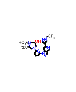 CC(C)(C)C1CN(c2cccc(-n3ncc4cnc(-c5cnn(CC(F)(F)F)c5)cc43)n2)CC(O)CN1C(=O)O